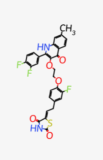 Cc1ccc2c(=O)c(OCCOc3ccc(CC=C4SC(=O)NC4=O)cc3F)c(-c3ccc(F)c(F)c3)[nH]c2c1